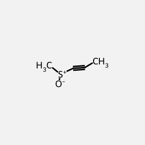 CC#C[S+](C)[O-]